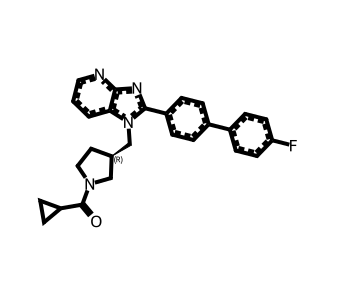 O=C(C1CC1)N1CC[C@@H](Cn2c(-c3ccc(-c4ccc(F)cc4)cc3)nc3ncccc32)C1